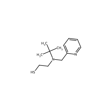 CC(C)(C)N(CCS)Cc1ccccn1